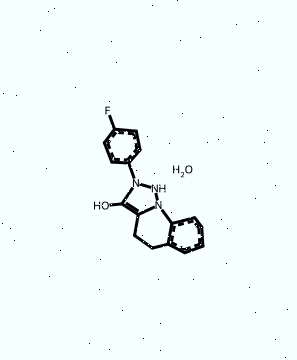 O.OC1=C2CCc3ccccc3N2NN1c1ccc(F)cc1